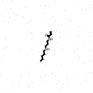 C=CC(=O)NCCCNCCCCC